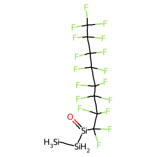 O=[Si]([SiH2][SiH3])C(F)(F)C(F)(F)C(F)(F)C(F)(F)C(F)(F)C(F)(F)C(F)(F)C(F)(F)F